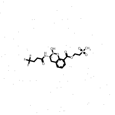 CS(=O)(=O)CCOC(=O)c1cccc2c1OB(O)[C@@H](NC(=O)CCC(F)(F)F)C2